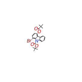 CC(C)(C)OC(=O)n1c2ccccc2c2c(OC(=O)C(C)(C)C)ccc(Br)c21